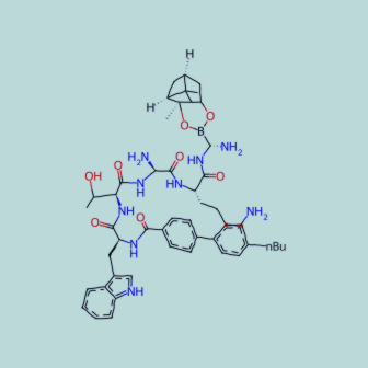 CCCCc1ccc(-c2ccc(C(=O)N[C@@H](Cc3c[nH]c4ccccc34)C(=O)N[C@H](C(=O)N[C@@H](N)C(=O)N[C@@H](CCCCN)C(=O)N[C@@H](N)B3OC4C[C@@H]5C[C@@H](C5(C)C)[C@]4(C)O3)C(C)O)cc2)cc1